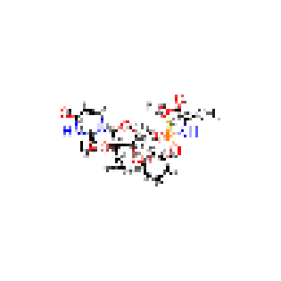 C=C1NC(=O)C=CN1[C@@H]1O[C@H](COP(=S)(NC(C)C(=O)OC(C)C)Oc2ccccc2)[C@@H](O)[C@]1(O)C1CC1